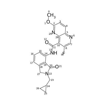 COc1ccc2ncc(F)c(C(=O)Nc3cccc4c3C(=O)N(CC3CC3)C4)c2n1